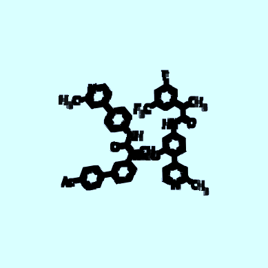 CC(=O)c1ccc(-c2cccc(C(C)C(=O)Nc3ccc(-c4ccnc(C)c4)cc3)c2)cc1.COc1cc(NC(=O)C(C)c2cc(F)cc(C(F)(F)F)c2)ccc1-c1ccnc(C)c1